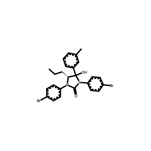 CCC[C@H]1N(c2ccc(Br)cc2)C(=O)N(c2ccc(Br)cc2)C1(O)c1cccc(C)c1